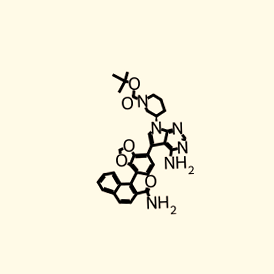 CC(C)(C)OC(=O)N1CCC[C@@H](n2cc(-c3ccc(-c4c(C(N)=O)ccc5ccccc45)c4c3OCO4)c3c(N)ncnc32)C1